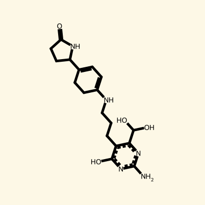 Nc1nc(O)c(CCCNC2=CC=C(C3CCC(=O)N3)CC2)c(C(O)O)n1